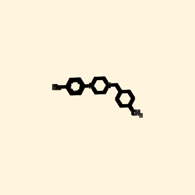 CCC(C)c1ccc(N2CCN(CC3CCC(C)CC3)CC2)cc1